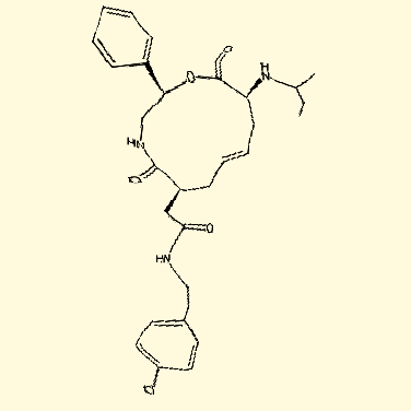 CC(C)N[C@H]1C/C=C/C[C@@H](CC(=O)NCc2ccc(Cl)cc2)C(=O)NC[C@@H](c2ccccc2)OC1=O